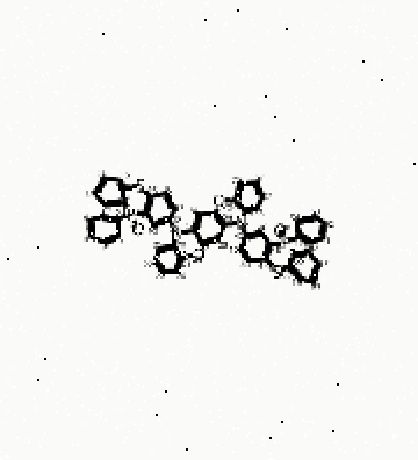 O=P1(c2ccccc2)c2ccccc2Sc2ccc(-n3c4ccccc4oc4cc5c(cc43)oc3ccccc3n5-c3ccc4c(c3)P(=O)(c3ccccc3)c3ccccc3S4)cc21